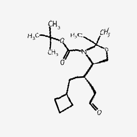 CC(C)(C)OC(=O)N1[C@H]([C@@H](CC=O)CC2CCC2)COC1(C)C